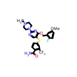 COc1ccc(F)c(COc2nc(N3CCN(C)CC3)ncc2Sc2ccc(C(N)=O)c(C(F)(F)F)c2)c1